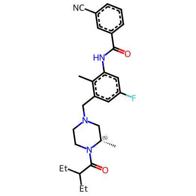 CCC(CC)C(=O)N1CCN(Cc2cc(F)cc(NC(=O)c3cccc(C#N)c3)c2C)C[C@@H]1C